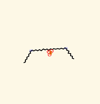 CCCCCCCC/C=C\CCCCCCCCC(CCCCCCCC/C=C\CCCCCCCC)OS(C)(=O)=O